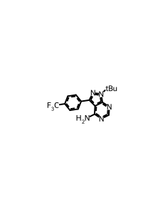 CC(C)(C)n1nc(-c2ccc(C(F)(F)F)cc2)c2c(N)ncnc21